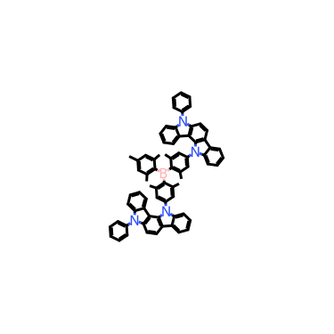 Cc1cc(C)c(B(c2c(C)cc(-n3c4ccccc4c4ccc5c(c6ccccc6n5-c5ccccc5)c43)cc2C)c2c(C)cc(-n3c4ccccc4c4ccc5c(c6ccccc6n5-c5ccccc5)c43)cc2C)c(C)c1